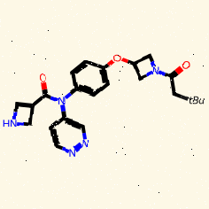 CC(C)(C)CC(=O)N1CC(Oc2ccc(N(C(=O)C3CNC3)c3ccnnc3)cc2)C1